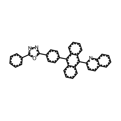 c1ccc(-c2nnc(-c3ccc(-c4c5ccccc5c(-c5ccc6ccccc6n5)c5ccccc45)cc3)o2)cc1